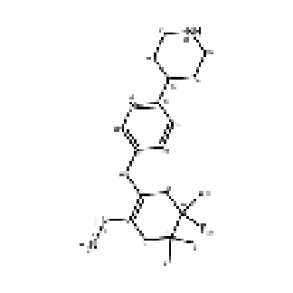 CC1(C)CC(NN)=C(Cc2ccc(C3CCNCC3)nc2)CC1(F)F